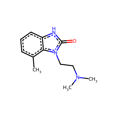 Cc1cccc2[nH]c(=O)n(CCN(C)C)c12